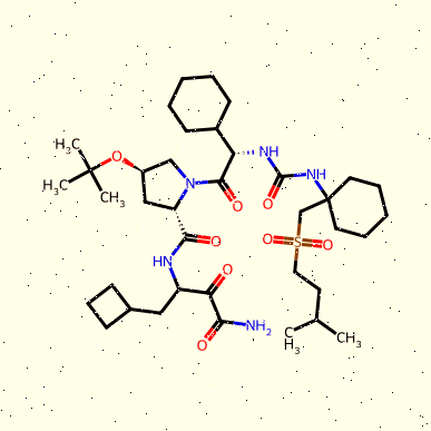 CC(C)CCS(=O)(=O)CC1(NC(=O)N[C@H](C(=O)N2C[C@H](OC(C)(C)C)C[C@H]2C(=O)NC(CC2CCC2)C(=O)C(N)=O)C2CCCCC2)CCCCC1